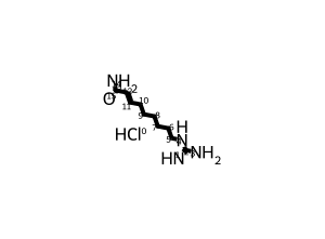 Cl.N=C(N)NCCCCCC/C=C/C(N)=O